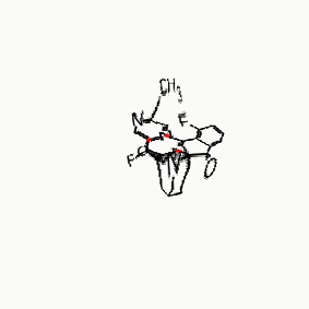 Cc1cnc(OC2CC3CCC2N(C(=O)c2cccc(F)c2-c2ncc(F)cn2)C3)cn1